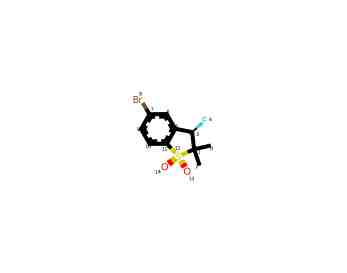 CC1(C)[C@H](F)c2cc(Br)ccc2S1(=O)=O